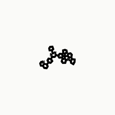 c1ccc(-c2nc(-c3ccc(-c4cccc5cccnc45)cc3)cc(-c3ccc(C4(c5ccccc5)c5ccccc5-n5c6ccccc6c6cccc4c65)cc3)n2)cc1